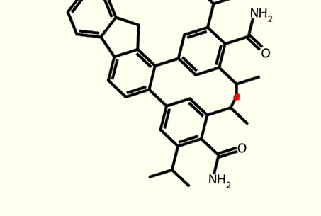 CC(C)c1cc(-c2ccc3c(c2-c2cc(C(C)C)c(C(N)=O)c(C(C)C)c2)Cc2ccccc2-3)cc(C(C)C)c1C(N)=O